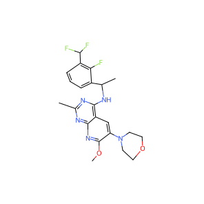 COc1nc2nc(C)nc(NC(C)c3cccc(C(F)F)c3F)c2cc1N1CCOCC1